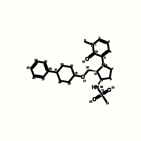 Cn1cccc(N2CC[C@H](NS(C)(=O)=O)[C@@H]2COC2CCC(c3ccccc3)CC2)c1=O